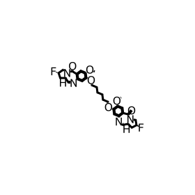 COc1cc2c(cc1OCCCCCCOc1cc3c(cc1OC)C(=O)N1C[C@@H](F)C[C@H]1C=N3)N=C[C@@H]1C[C@H](F)CN1C2=O